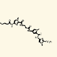 CCOC(=O)c1nc(NC(=O)c2cc(NC(=O)CCNC(=O)c3nc(NC(=O)CCCN)cn3C)cn2C)cn1C